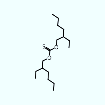 CCCCC(CC)COC(=S)OCC(CC)CCCC